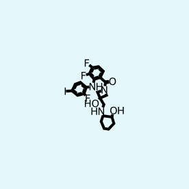 O=C(c1ccc(F)c(F)c1Nc1ccc(I)cc1F)N1CC(O)(CNC2CCCCC2O)C1